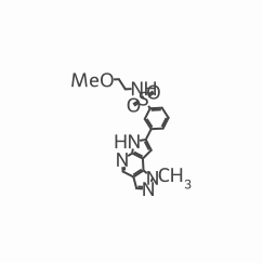 COCCNS(=O)(=O)c1cccc(-c2cc3c(ncc4cnn(C)c43)[nH]2)c1